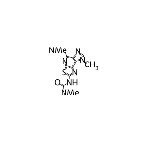 CNC(=O)Nc1nc2c(nc(NC)c3ncn(C)c32)s1